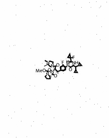 COC(=O)N1CCC[C@H]1C(=O)N[C@@H](C(=O)N1CCN(C)[C@H](C)C1)[C@@H](C)c1ccc(NC(=O)[C@@H](NC(=O)C2(F)CC2)C(C2CC2)C2CC2)c(F)c1